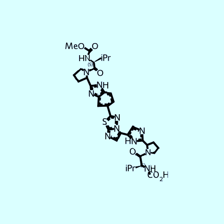 COC(=O)N[C@H](C(=O)N1CCCC1c1nc2cc(-c3nn4c(-c5cnc(C6CCCN6C(=O)[C@@H](NC(=O)O)C(C)C)[nH]5)cnc4s3)ccc2[nH]1)C(C)C